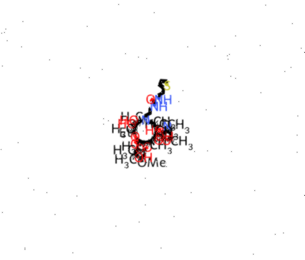 CC[C@H]1OC(=O)[C@H](C)[C@@H](O[C@@H](CCOC)O[C@@H](C)[C@@H](C)O)[C@H](C)[C@@H](O[C@@H]2O[C@H](C)C[C@H](N(C)C)[C@H]2O)[C@](C)(O)C[C@@H](C)CN(CCCNC(=O)NCCc2cccs2)[C@H](C)[C@@H](O)[C@]1(C)O